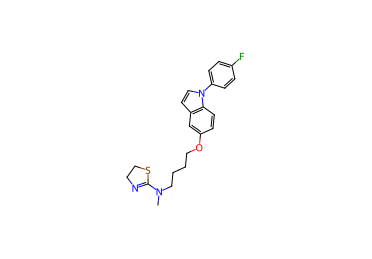 CN(CCCCOc1ccc2c(ccn2-c2ccc(F)cc2)c1)C1=NCCS1